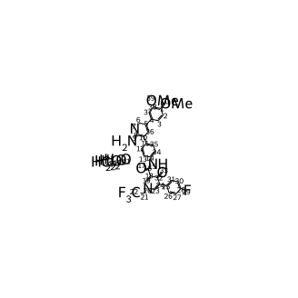 COc1ccc(-c2cnc(N)c(-c3ccc(NC(=O)c4cn(CC(F)(F)F)cc(-c5ccc(F)cc5)c4=O)cc3)c2)cc1OC.Cl.O.O.O